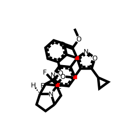 COC(=O)Cc1ccc(N2C3CC[C@H]2CC(OCc2c(-c4ccccc4OC(F)(F)F)noc2C2CC2)C3)nc1